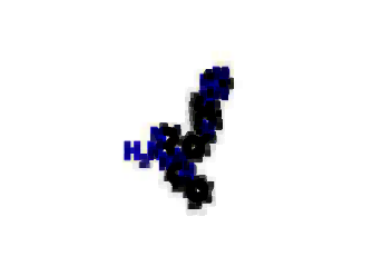 Nc1ncccc1-c1nc2ccc(-c3ccccc3)nc2n1-c1ccc(CN2CCC3(CC2)CCN(c2ncncn2)C3)cc1